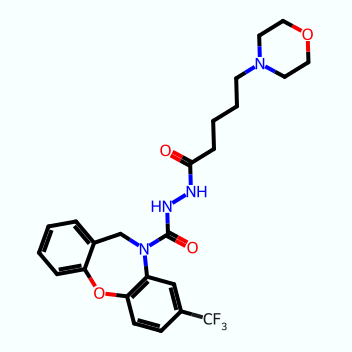 O=C(CCCCN1CCOCC1)NNC(=O)N1Cc2ccccc2Oc2ccc(C(F)(F)F)cc21